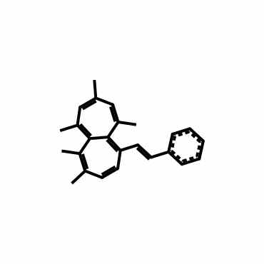 CC1=CC(C)=C2C(C)=C(C)C=CC(C=Cc3ccccc3)=C2C(C)=C1